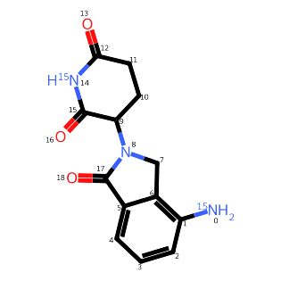 [15NH2]c1cccc2c1CN(C1CCC(=O)[15NH]C1=O)C2=O